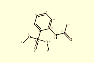 COP(=O)(OC)c1ccccc1NC(C)=O